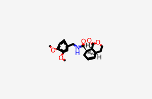 COc1ccc(CNC(=O)[C@@H]2CC=C[C@@H]3CCOC(=O)[C@@H]32)cc1OC